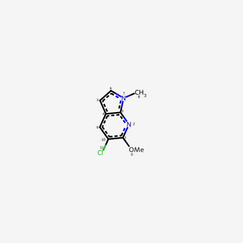 COc1nc2c(ccn2C)cc1Cl